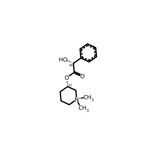 C[N+]1(C)CCC[C@H](OC(=O)[C@H](O)c2ccccc2)C1